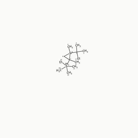 CCC(C)(C)[Si]1(C)CC1(C)[SH](C)(C)(C)CC